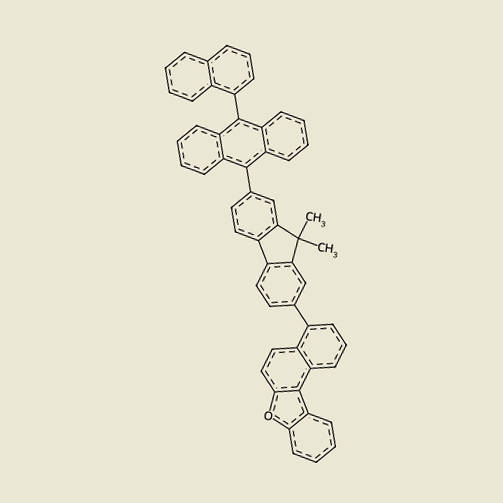 CC1(C)c2cc(-c3c4ccccc4c(-c4cccc5ccccc45)c4ccccc34)ccc2-c2ccc(-c3cccc4c3ccc3oc5ccccc5c34)cc21